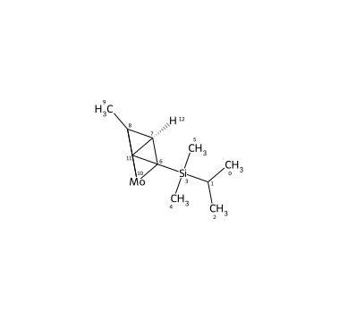 CC(C)[Si](C)(C)[C]12[C@@H]3[C]4(C)[Mo]1[C]342